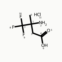 CC(N)(CC(=O)O)C(F)(F)F.Cl